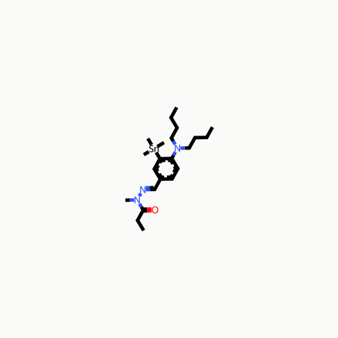 CCCCN(CCCC)c1ccc(C=NN(C)C(=O)CC)c[c]1[Sn]([CH3])([CH3])[CH3]